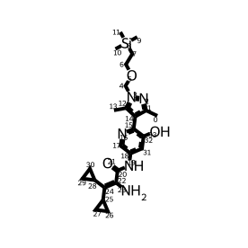 Cc1nn(COCC[Si](C)(C)C)c(C)c1-c1ncc(NC(=O)C(N)=C(C2CC2)C2CC2)cc1O